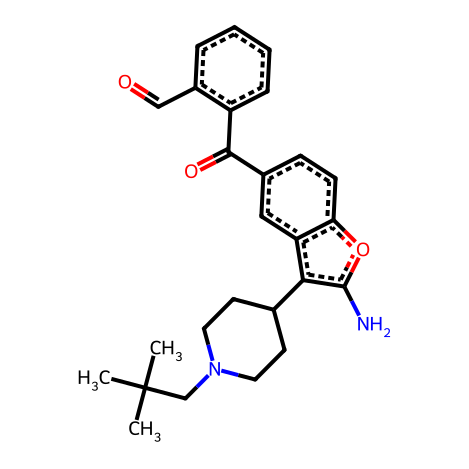 CC(C)(C)CN1CCC(c2c(N)oc3ccc(C(=O)c4ccccc4C=O)cc23)CC1